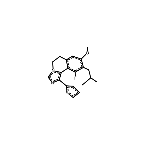 COc1cc2c(c(F)c1CC(C)C)-c1c(-c3cccs3)ncn1CC2